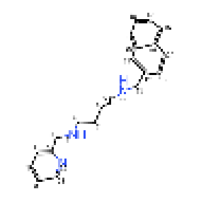 c1ccc(CNCCCCNCc2ccc3ccccc3c2)nc1